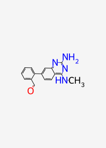 CNc1nc(N)nc2cc(-c3ccccc3C=O)ccc12